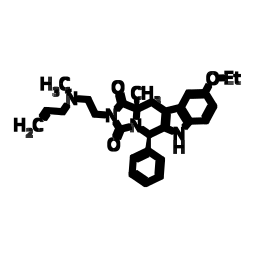 C=CCN(C)CCN1C(=O)N2[C@H](c3ccccc3)c3[nH]c4ccc(OCC)cc4c3C[C@@]2(C)C1=O